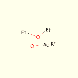 CC(=O)[O-].CCOCC.[K+]